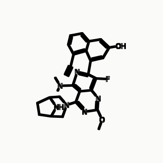 C#Cc1cccc2cc(O)cc(-c3nc(N(C)C)c4c(N5CC6CCC(C5)N6)nc(OC)nc4c3F)c12